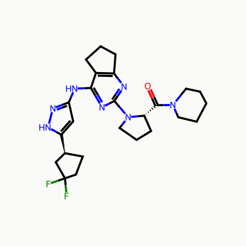 O=C([C@@H]1CCCN1c1nc2c(c(Nc3cc([C@H]4CCC(F)(F)C4)[nH]n3)n1)CCC2)N1CCCCC1